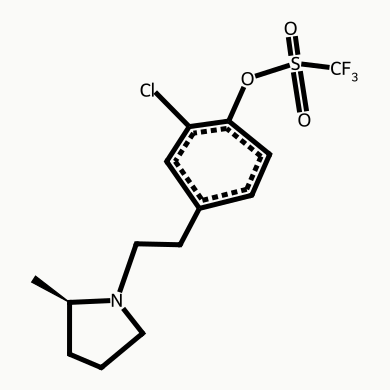 C[C@@H]1CCCN1CCc1ccc(OS(=O)(=O)C(F)(F)F)c(Cl)c1